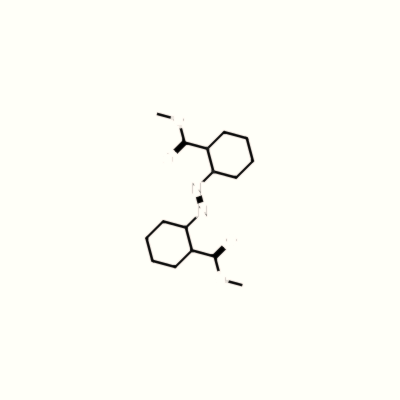 COC(=O)C1CCCCC1N=NC1CCCCC1C(=O)OC